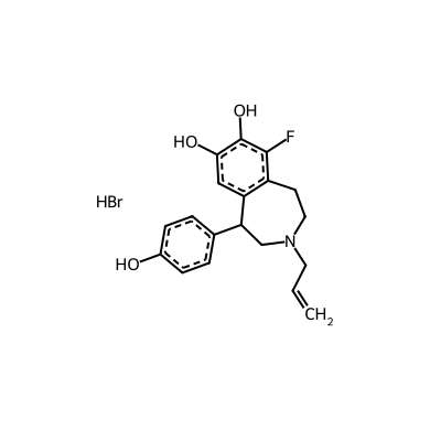 Br.C=CCN1CCc2c(cc(O)c(O)c2F)C(c2ccc(O)cc2)C1